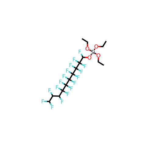 CCO[Si](OCC)(OCC)OC(F)C(F)(F)C(F)(F)C(F)(F)C(F)(F)C(F)(F)C(F)(F)C(F)C(F)C(F)F